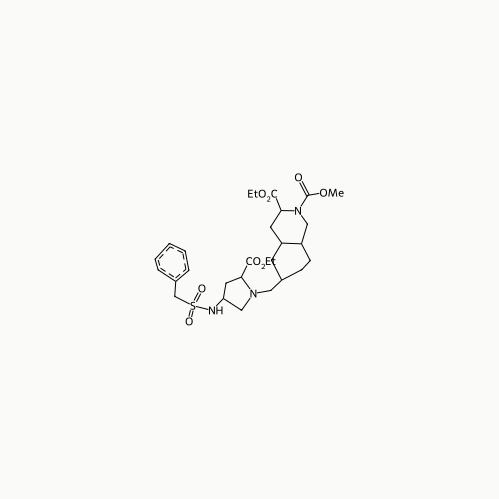 CCOC(=O)C1CC(NS(=O)(=O)Cc2ccccc2)CN1CC1CCC2CN(C(=O)OC)C(C(=O)OCC)CC2C1